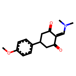 COc1ccc(C2CC(=O)C(=CN(C)C)C(=O)C2)cc1